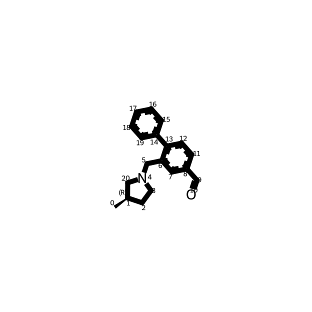 C[C@@H]1CCN(Cc2cc(C=O)ccc2-c2ccccc2)C1